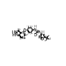 CC(C)(C)c1cc(NC(=O)Nc2ccc(ON3C=NC=C4NNC=C43)cc2)no1